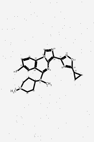 CN1CCC(N(C)c2nc3c(-c4noc(C5CC5)n4)ncn3c3ccc(F)cc23)CC1